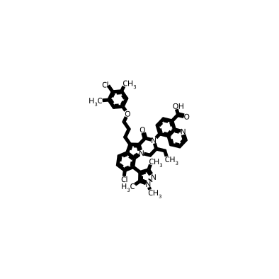 CCC1Cn2c(c(CCCOc3cc(C)c(Cl)c(C)c3)c3ccc(Cl)c(-c4c(C)nn(C)c4C)c32)C(=O)N1c1ccc(C(=O)O)c2ncccc12